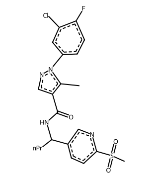 CCCC(NC(=O)c1cnn(-c2ccc(F)c(Cl)c2)c1C)c1ccc(S(C)(=O)=O)nc1